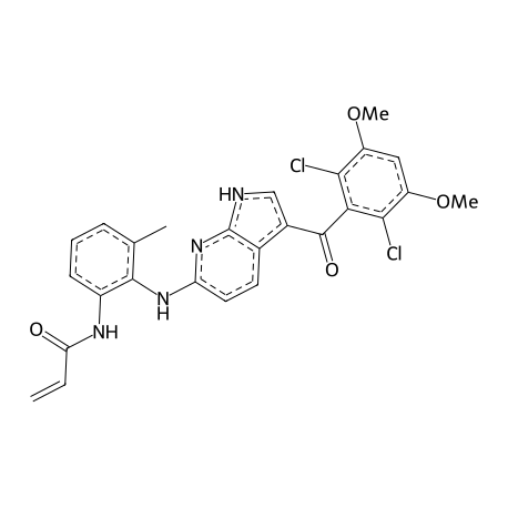 C=CC(=O)Nc1cccc(C)c1Nc1ccc2c(C(=O)c3c(Cl)c(OC)cc(OC)c3Cl)c[nH]c2n1